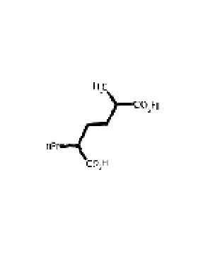 [CH2]C(CCC(CCC)C(=O)O)C(=O)O